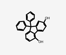 Oc1ccc2c(c1)C(c1ccccc1)(c1ccccc1)c1cccc(O)c1-2